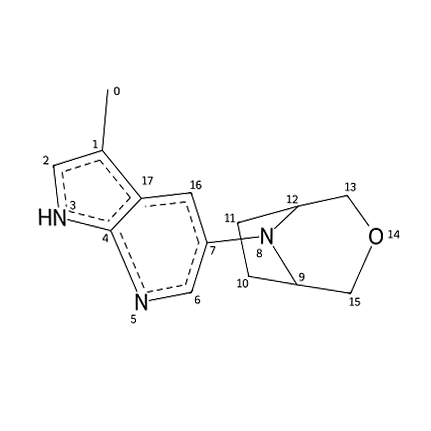 Cc1c[nH]c2ncc(N3C4CCC3COC4)cc12